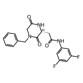 O=C(C[C@H]1NC(=O)CN(Cc2ccccc2)C1=O)Nc1cc(F)cc(F)c1